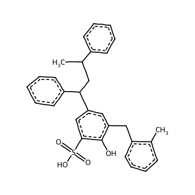 Cc1ccccc1Cc1cc(C(CC(C)c2ccccc2)c2ccccc2)cc(S(=O)(=O)O)c1O